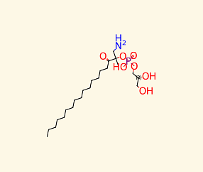 CCCCCCCCCCCCCCCC(=O)C(C)(CN)OP(=O)(O)OC[C@H](O)CO